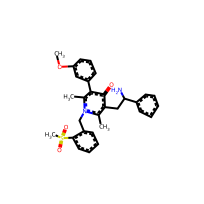 COc1cccc(-c2c(C)n(Cc3ccccc3S(C)(=O)=O)c(C)c(CC(N)c3ccccc3)c2=O)c1